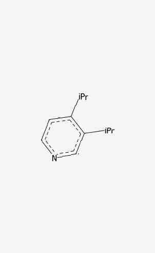 CC(C)c1[c]nccc1C(C)C